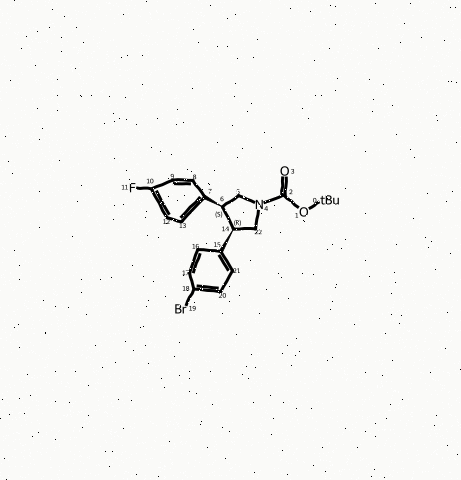 CC(C)(C)OC(=O)N1C[C@H](c2ccc(F)cc2)[C@H](c2ccc(Br)cc2)C1